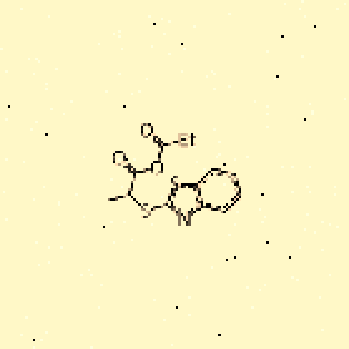 CCC(=O)OC(=O)C(C)Sc1nc2ccccc2s1